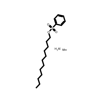 CCCCCCCCCCCCOS(=O)(=O)c1ccccc1.[AlH3].[Mn]